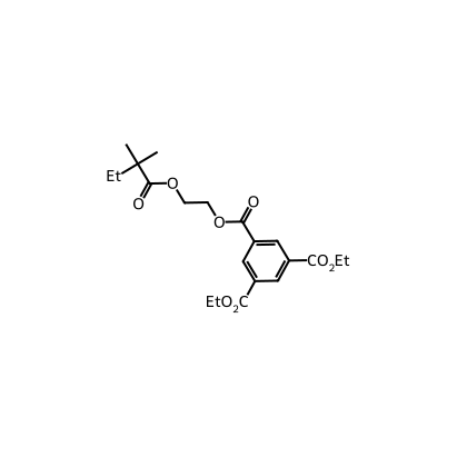 CCOC(=O)c1cc(C(=O)OCC)cc(C(=O)OCCOC(=O)C(C)(C)CC)c1